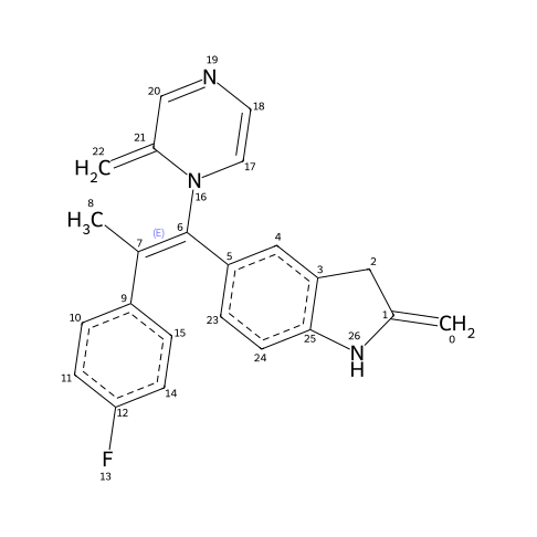 C=C1Cc2cc(/C(=C(/C)c3ccc(F)cc3)N3C=CN=CC3=C)ccc2N1